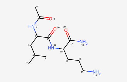 CC(=O)NC(CC(C)C)C(=O)NC(CCCN)C(N)=O